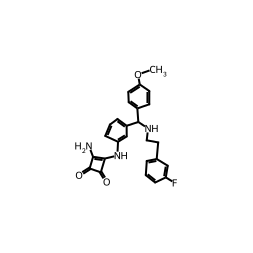 COc1ccc(C(NCCc2cccc(F)c2)c2cccc(Nc3c(N)c(=O)c3=O)c2)cc1